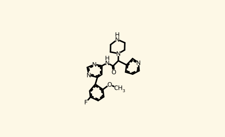 COc1ccc(F)cc1-c1cc(NC(=O)C(c2cccnc2)N2CCNCC2)ncn1